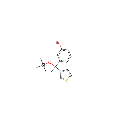 CC(O[Si](C)(C)C)(c1c[c]sc1)c1cccc(Br)c1